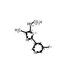 Cc1nc(-c2cncc(F)c2)sc1NC(=O)O